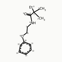 CCC(C)(C)C(=O)NCCOc1ccccc1